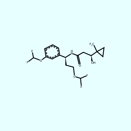 O=C(C[C@H](O)C1(C(F)(F)F)CC1)N[C@@H](CCOC(F)F)c1cccc(OC(F)F)c1